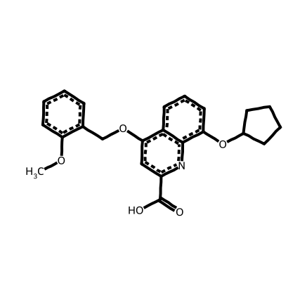 COc1ccccc1COc1cc(C(=O)O)nc2c(OC3CCCC3)cccc12